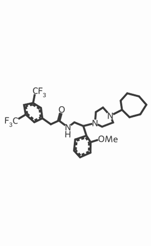 COc1ccccc1C(CNC(=O)Cc1cc(C(F)(F)F)cc(C(F)(F)F)c1)N1CCN(C2CCCCCC2)CC1